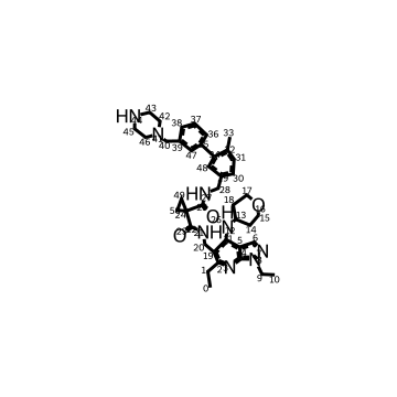 CCc1nc2c(cnn2CC)c(NC2CCOCC2)c1CNC(=O)C1(C(=O)NCc2ccc(C)c(-c3cccc(CN4CCNCC4)c3)c2)CC1